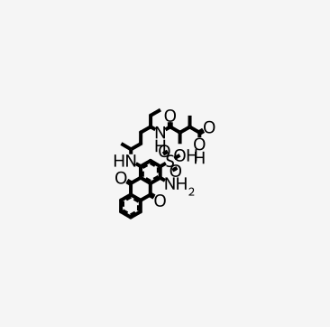 CCC(CCC(C)Nc1cc(S(=O)(=O)O)c(N)c2c1C(=O)c1ccccc1C2=O)NC(=O)C(C)C(C)C(=O)O